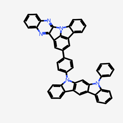 c1ccc(-n2c3ccccc3c3cc4c5ccccc5n(-c5ccc(-c6cc7c8ccccc8n8c9nc%10ccccc%10nc9c(c6)c78)cc5)c4cc32)cc1